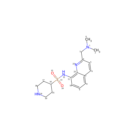 CN(C)Cc1ccc2cccc(NS(=O)(=O)C3CCNCC3)c2n1